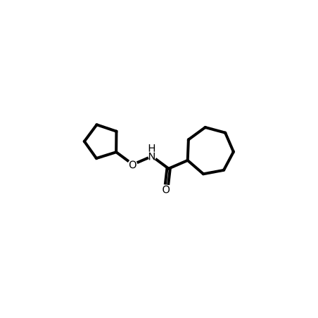 O=C(NOC1CCCC1)C1CCCCCC1